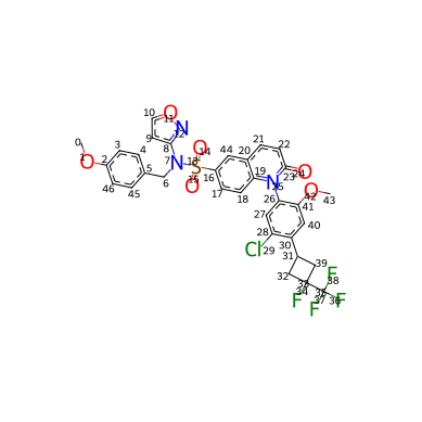 COc1ccc(CN(c2ccon2)S(=O)(=O)c2ccc3c(ccc(=O)n3-c3cc(Cl)c(C4CC(F)(C(F)(F)F)C4)cc3OC)c2)cc1